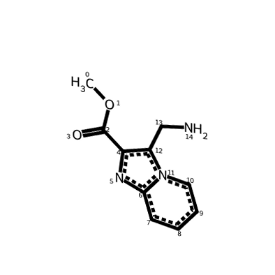 COC(=O)c1nc2ccccn2c1CN